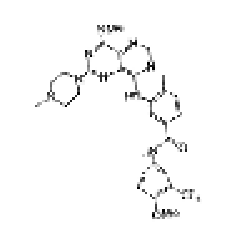 CNc1nc(N2CCN(C)CC2)nc2c(Nc3cc(C(=O)Nc4ccc(OC)c(C(F)(F)F)c4)ccc3C)ncnc12